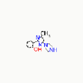 Cc1cc(N2CCNCC2)nc(-c2ccccc2O)n1